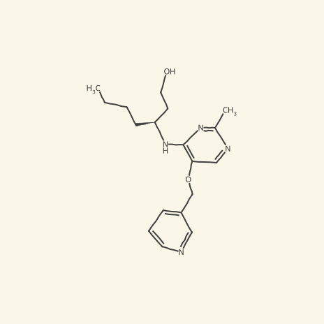 CCCC[C@@H](CCO)Nc1nc(C)ncc1OCc1cccnc1